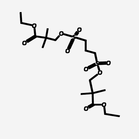 CCOC(=O)C(C)(C)COS(=O)(=O)CCCS(=O)(=O)OCC(C)(C)C(=O)OCC